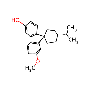 COc1cccc([C@]2(c3ccc(O)cc3)CC[C@@H](C(C)C)CC2)c1